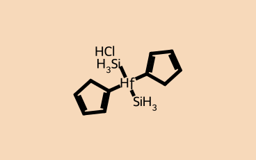 Cl.[SiH3][Hf]([SiH3])([C]1=CC=CC1)[C]1=CC=CC1